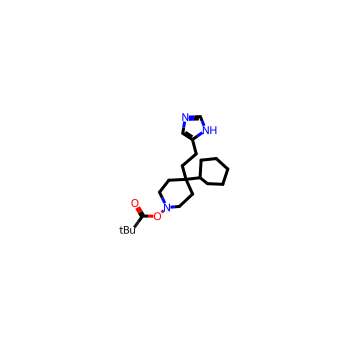 CC(C)(C)C(=O)ON1CCC(CCc2cnc[nH]2)(C2CCCCC2)CC1